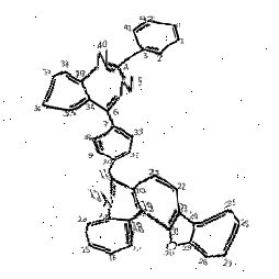 c1ccc(-c2nc(-c3ccc(-c4nc5ccccc5c5c4ccc4c6ccccc6oc45)cc3)c3ccccc3n2)cc1